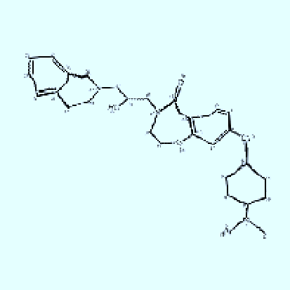 CCCN(C)C1CCC(Oc2ccc3c(c2)OCCN(CC(O)CN2CCc4ccccc4C2)C3=O)CC1